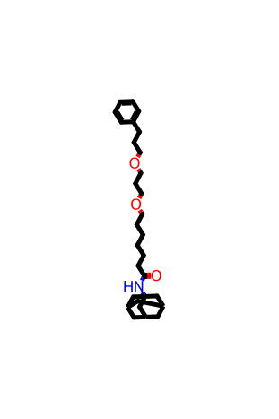 O=C(CCCCCCOCCCOCCCc1ccccc1)NC12CC3CC(CC(C3)C1)C2